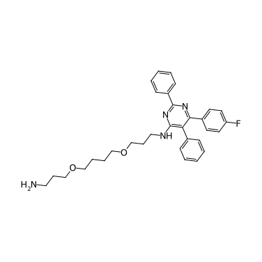 NCCCOCCCCOCCCNc1nc(-c2ccccc2)nc(-c2ccc(F)cc2)c1-c1ccccc1